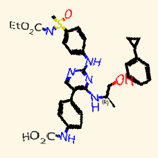 CCOC(=O)N=S(C)(=O)c1ccc(Nc2ncc(-c3ccc(NC(=O)O)cc3)c(N[C@H](C)CO)n2)cc1.c1ccc(C2CC2)cc1